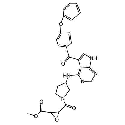 COC(=O)C1OC1C(=O)N1CCC(Nc2ncnc3[nH]cc(C(=O)c4ccc(Oc5ccccc5)cc4)c23)C1